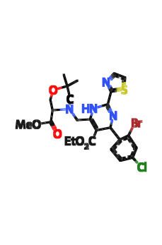 CCOC(=O)C1=C(CN2CC(C)(C)OCC2C(=O)OC)NC(c2nccs2)=NC1c1ccc(Cl)cc1Br